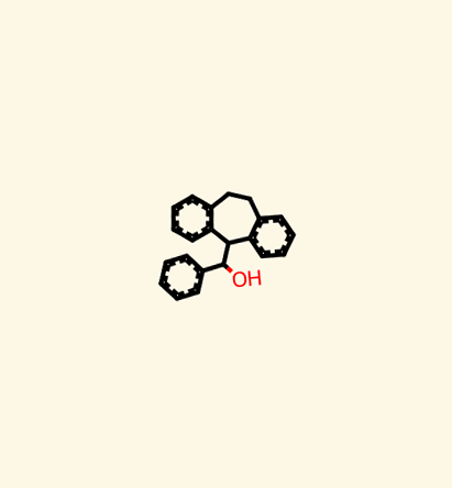 OC(c1ccccc1)C1c2ccccc2CCc2ccccc21